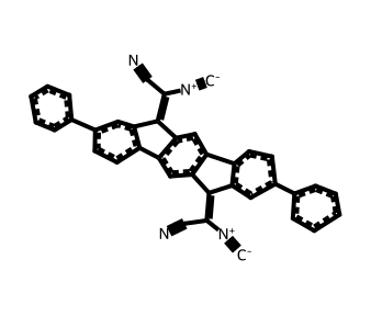 [C-]#[N+]/C(C#N)=C1/c2cc(-c3ccccc3)ccc2-c2cc3c(cc21)-c1ccc(-c2ccccc2)cc1/C3=C(/C#N)[N+]#[C-]